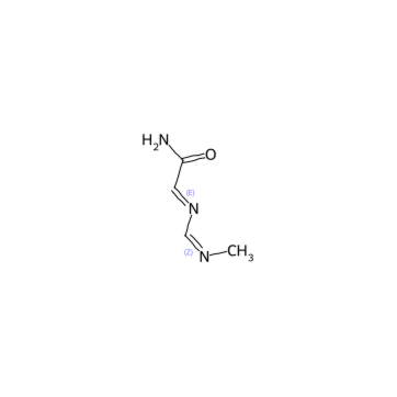 C/N=C\N=C\C(N)=O